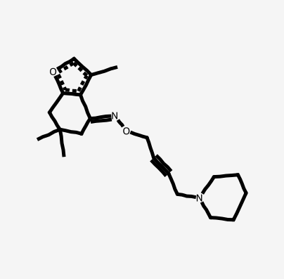 Cc1coc2c1/C(=N/OCC#CCN1CCCCC1)CC(C)(C)C2